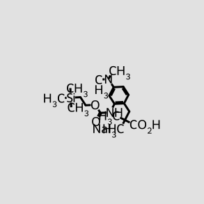 CN(C)c1ccc(CC(C)(C)C(=O)O)c(NC(=O)OCC[Si](C)(C)C)c1.[NaH]